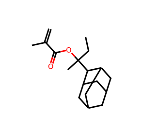 C=C(C)C(=O)OC(C)(CC)C1C2CC3CC(C2)CC1C3